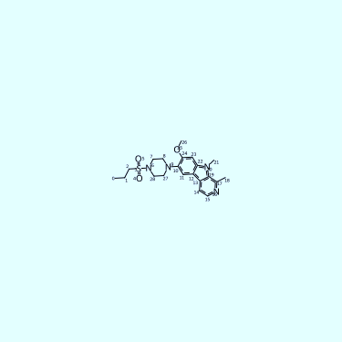 CCCS(=O)(=O)N1CCN(c2cc3c4ccnc(C)c4n(C)c3cc2OC)CC1